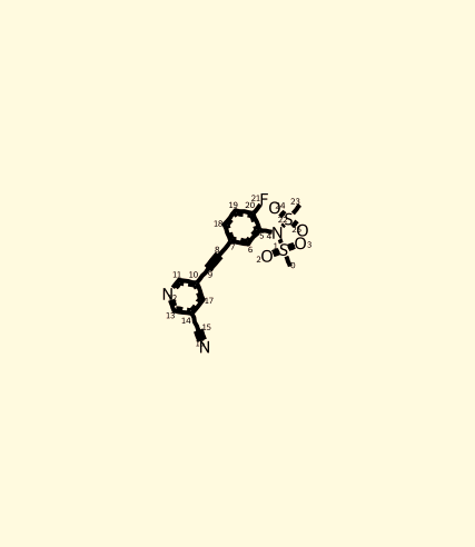 CS(=O)(=O)N(c1cc(C#Cc2cncc(C#N)c2)ccc1F)S(C)(=O)=O